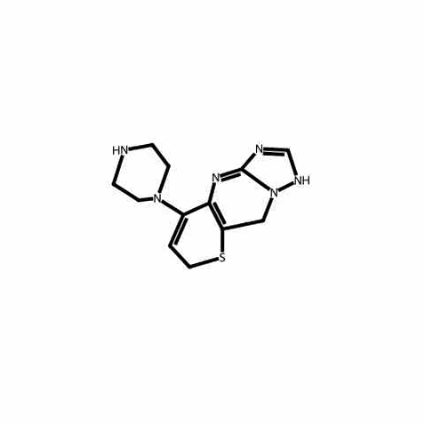 C1=NC2=NC3=C(CN2N1)SCC=C3N1CCNCC1